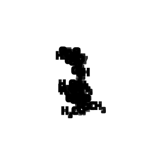 C[C@H]1C=C2C=C[C@H](C)[C@H](CC[C@@H]3C[C@@H](O[Si](C)(C)C(C)(C)C)CC(=O)O3)[C@H]2[C@@H](OC(=O)NCCCCCCCCNC(=O)COc2cccc3c2C(=O)N(C2CCC(=O)NC2=O)C3=O)C1